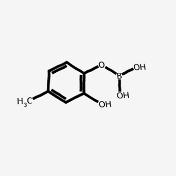 Cc1ccc(OB(O)O)c(O)c1